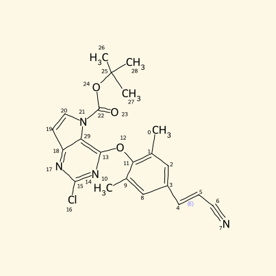 Cc1cc(/C=C/C#N)cc(C)c1Oc1nc(Cl)nc2ccn(C(=O)OC(C)(C)C)c12